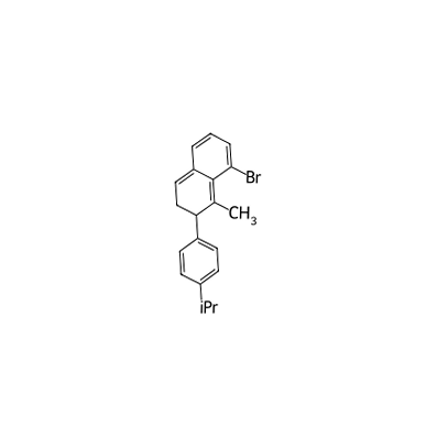 CC1=c2c(Br)cccc2=CCC1c1ccc(C(C)C)cc1